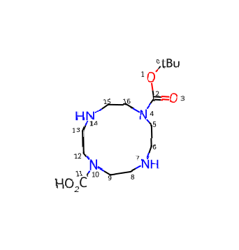 CC(C)(C)OC(=O)N1CCNCCN(C(=O)O)CCNCC1